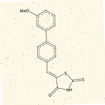 COc1cccc(-c2ccc(/C=C3\SC(=S)NC3=O)cc2)c1